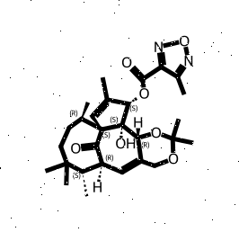 CC1=C[C@]23C(=O)[C@@H](C=C4COC(C)(C)O[C@H]4[C@]2(O)[C@H]1OC(=O)c1nonc1C)[C@H](C)C(C)(C)CC[C@H]3C